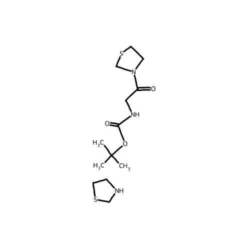 C1CSCN1.CC(C)(C)OC(=O)NCC(=O)N1CCSC1